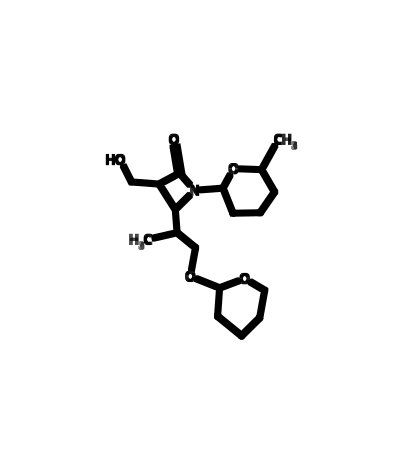 CC1CCCC(N2C(=O)C(CO)C2C(C)COC2CCCCO2)O1